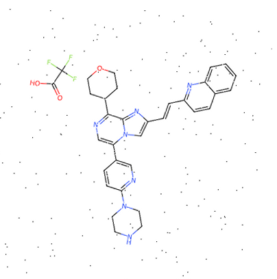 C(=C\c1cn2c(-c3ccc(N4CCNCC4)nc3)cnc(C3CCOCC3)c2n1)/c1ccc2ccccc2n1.O=C(O)C(F)(F)F